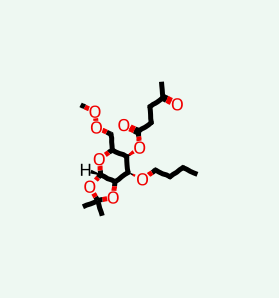 CCCCO[C@@H]1C2OC(C)(C)O[C@@H]2OC(COOC)[C@H]1OC(=O)CCC(C)=O